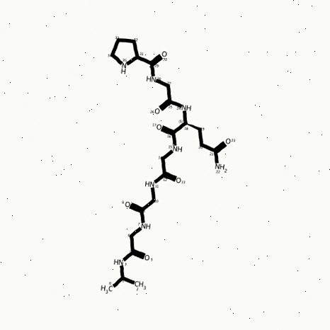 CC(C)NC(=O)CNC(=O)CNC(=O)CNC(=O)[C@H](CCC(N)=O)NC(=O)CNC(=O)C1CCCN1